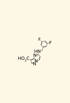 O=C(O)c1cnn2ccc(NCc3cc(F)cc(F)c3)nc12